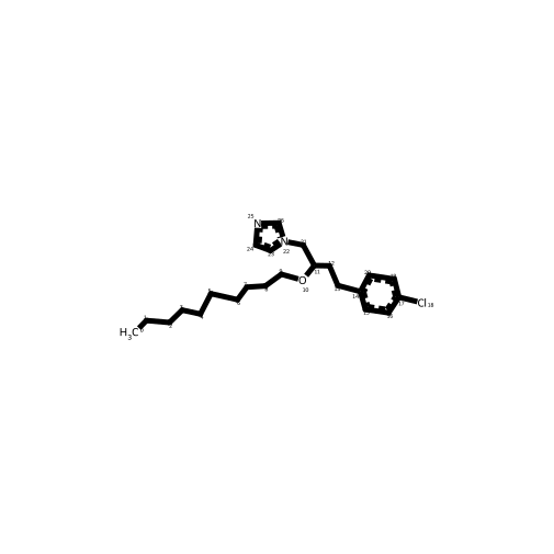 CCCCCCCCCCOC(CCc1ccc(Cl)cc1)Cn1ccnc1